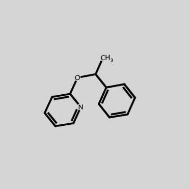 CC(Oc1ccccn1)c1ccccc1